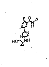 Cc1cc(F)c(C(=O)NC2CC2)cc1-c1cnc(NC2(CO)CC2)cn1